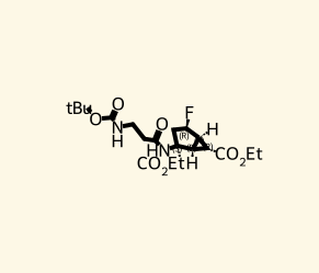 CCOC(=O)[C@H]1[C@H]2[C@@H]1[C@](NC(=O)CCNC(=O)OC(C)(C)C)(C(=O)OCC)C[C@H]2F